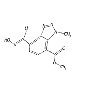 COC(=O)c1ccc(/C(Cl)=N/O)c2nnn(C)c12